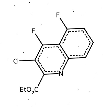 CCOC(=O)c1nc2cccc(F)c2c(F)c1Cl